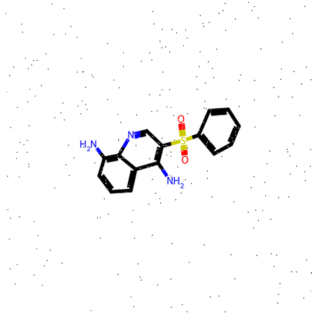 Nc1c(S(=O)(=O)c2ccccc2)cnc2c(N)cccc12